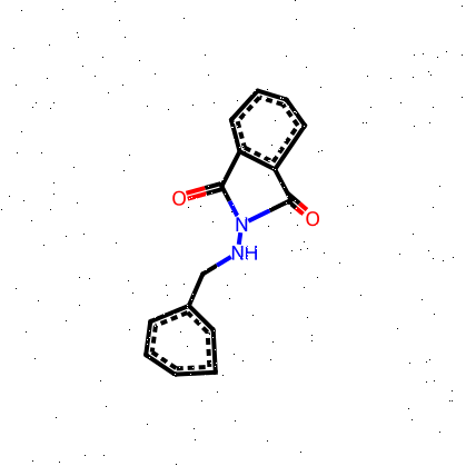 O=C1c2ccccc2C(=O)N1NCc1ccccc1